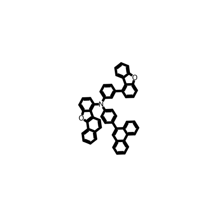 c1cc(-c2cccc3oc4ccccc4c23)cc(N(c2ccc(-c3cc4ccccc4c4ccccc34)cc2)c2cccc3oc4c5ccccc5ccc4c23)c1